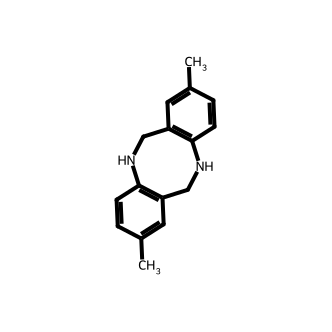 Cc1ccc2c(c1)CNc1ccc(C)cc1CN2